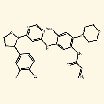 C=CC(=O)Nc1cc(Nc2cc(N3OCCC3c3ccc(Cl)c(F)c3)ncn2)c(OC)cc1N1CCOCC1